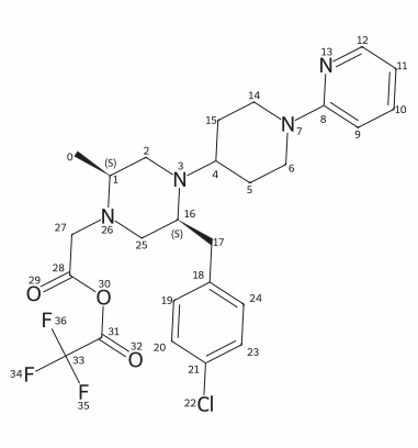 C[C@H]1CN(C2CCN(c3ccccn3)CC2)[C@@H](Cc2ccc(Cl)cc2)CN1CC(=O)OC(=O)C(F)(F)F